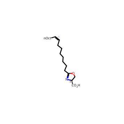 CCCCCCCC/C=C\CCCCCCCC1=N[C@H](C(=O)O)CO1